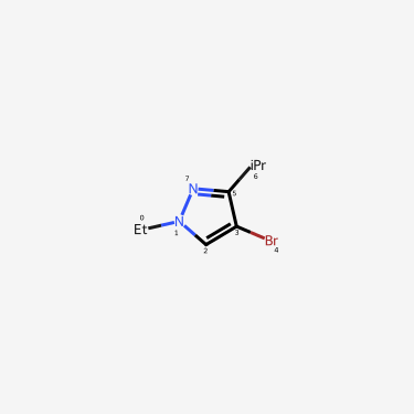 CCn1cc(Br)c(C(C)C)n1